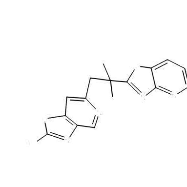 CC(C)(C)c1nc2cnc(CC(C)(C)c3nc4ncccc4o3)cc2o1